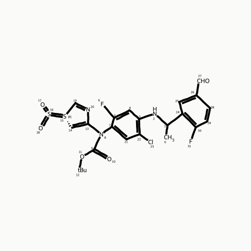 CC(Nc1cc(F)c(N(C(=O)OC(C)(C)C)C2=C[S@](=S(=O)=O)C=N2)cc1Cl)c1cc(C=O)ccc1F